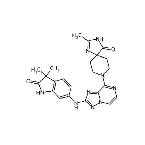 CC1=NC2(CCN(c3nccn4nc(Nc5ccc6c(c5)NC(=O)C6(C)C)nc34)CC2)C(=O)N1